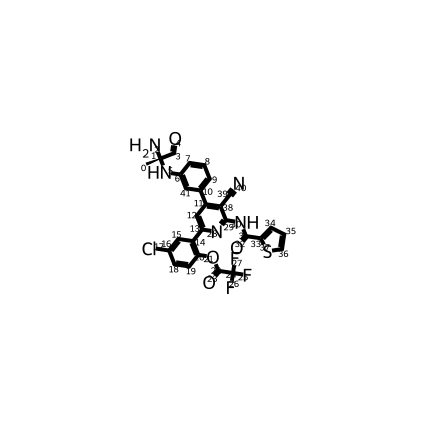 C[C@@](N)(C=O)Nc1cccc(-c2cc(-c3cc(Cl)ccc3OC(=O)C(F)(F)F)nc(NC(=O)c3cccs3)c2C#N)c1